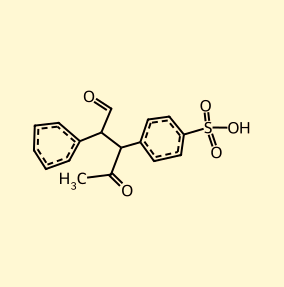 CC(=O)C(c1ccc(S(=O)(=O)O)cc1)C(C=O)c1ccccc1